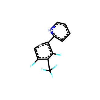 Fc1ccc(-c2ccccn2)c(F)c1C(F)(F)F